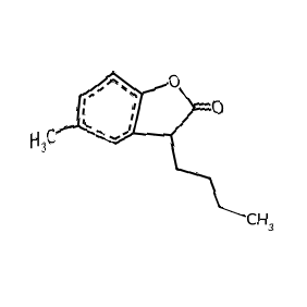 CCCCC1C(=O)Oc2ccc(C)cc21